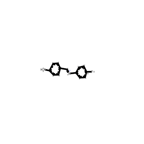 Nc1ccc(/C=N/c2ccc(F)cc2)cc1